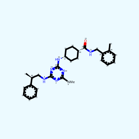 CNc1nc(NC[C@H](C)c2ccccc2)nc(N[C@H]2CC[C@@H](C(=O)NCc3ccccc3C)CC2)n1